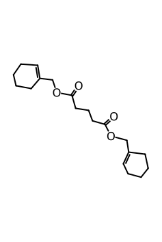 O=C(CCCC(=O)OCC1=CCCCC1)OCC1=CCCCC1